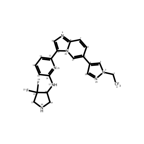 FC(F)(F)Cn1cc(-c2ccc3ncc(-c4cccc(NC5CNCC5(F)F)n4)n3c2)cn1